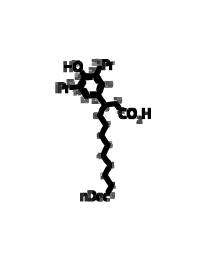 CCCCCCCCCCCCCCCCCCC(CC(=O)O)c1cc(C(C)C)c(O)c(C(C)C)c1